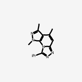 Cc1cc2nnc(C(C)C)n2c2c1c(C)nn2C